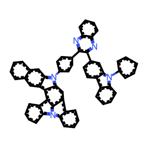 c1ccc(-n2c3ccccc3c3ccc(-c4nc5ccccc5nc4-c4ccc(-n5c6cc7ccccc7cc6c6c7c8ccccc8n8c9ccccc9c(cc65)c78)cc4)cc32)cc1